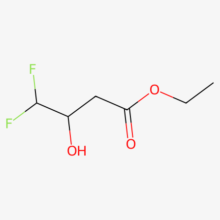 CCOC(=O)CC(O)C(F)F